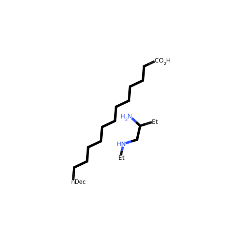 CCCCCCCCCCCCCCCCCCCCCC(=O)O.CCNCC(N)CC